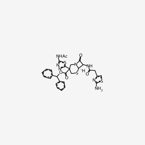 CC(=O)Nc1nnc(C2(C(=O)OC(c3ccccc3)c3ccccc3)CS[C@@H]3C(NC(=O)Cc4csc(N)n4)C(=O)N3C2)s1